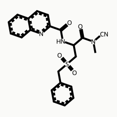 CN(C#N)C(=O)C(CS(=O)(=O)Cc1ccccc1)NC(=O)c1ccc2ccccc2n1